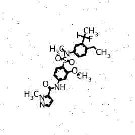 CCc1ccc(N(C)S(=O)(=O)c2ccc(NC(=O)c3ccnn3C)cc2OC)cc1C(C)(F)I